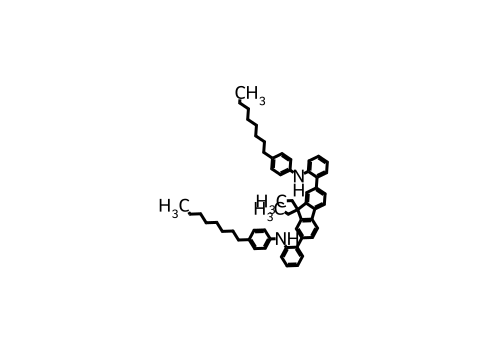 CCCCCCCCc1ccc(Nc2ccccc2-c2ccc3c(c2)C(CC)(CC)c2cc(-c4ccccc4Nc4ccc(CCCCCCCC)cc4)ccc2-3)cc1